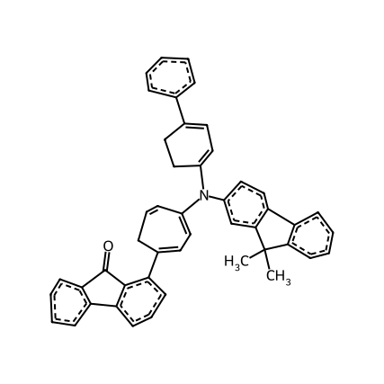 CC1(C)c2ccccc2-c2ccc(N(C3=CC=C(c4cccc5c4C(=O)c4ccccc4-5)CC=C3)C3=CC=C(c4ccccc4)CC3)cc21